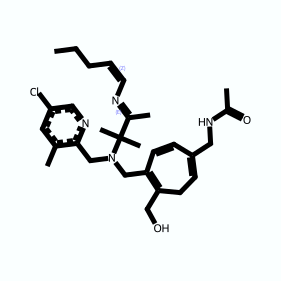 CCC/C=C\N=C(/C)C(C)(C)N(CC1=C(CO)CC=C(CNC(C)=O)C=C1)Cc1ncc(Cl)cc1C